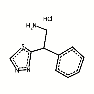 Cl.NCC(c1ccccc1)c1nncs1